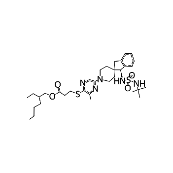 CCCCC(CC)COC(=O)CCSc1ncc(N2CCC3(CC2)Cc2ccccc2[C@H]3NS(=O)(=O)NC(C)(C)C)nc1C